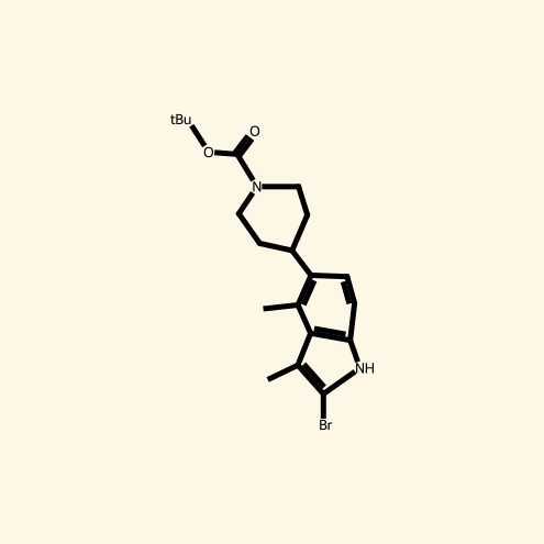 Cc1c(C2CCN(C(=O)OC(C)(C)C)CC2)ccc2[nH]c(Br)c(C)c12